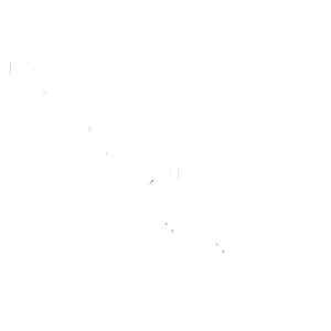 C=C/C(O)=C\C=C(/C)OC[C@@H](O)CN1CCN(c2ccc(C)cc2)CC1